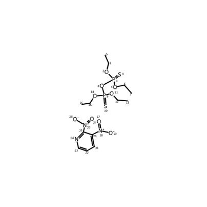 CCOP(=S)(OCC)OP(=S)(OCC)OCC.O=[N+]([O-])c1cccnc1[N+](=O)[O-]